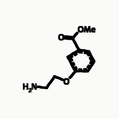 COC(=O)c1cccc(OCCN)c1